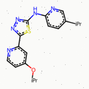 CC(C)Oc1ccnc(-c2nnc(Nc3ccc(C(C)C)cn3)s2)c1